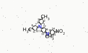 Cc1ccc(N(c2ccc(C)cc2)c2ccc(N(C)c3ccc([N+](=O)[O-])cc3)cc2)cc1